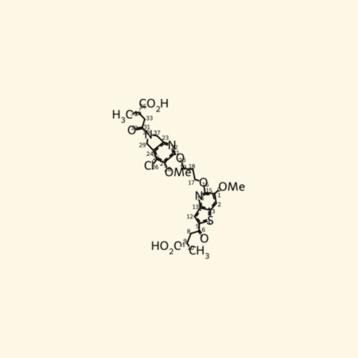 COc1cc2sc(C(=O)C[C@H](C)C(=O)O)cc2nc1OCCCOc1nc2c(c(Cl)c1OC)CN(C(=O)C[C@H](C)C(=O)O)C2